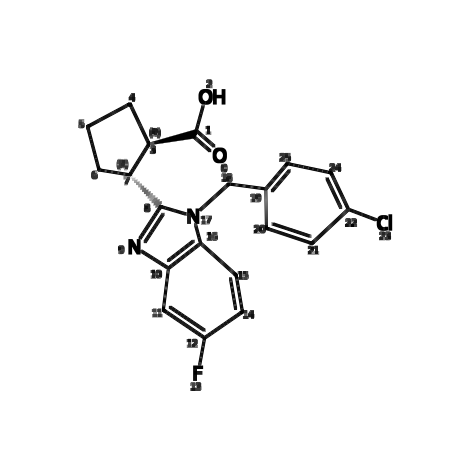 O=C(O)[C@@H]1CCC[C@H]1c1nc2cc(F)ccc2n1Cc1ccc(Cl)cc1